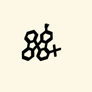 CC(C)(C)c1cccc2c1-c1ccc(Br)cc1C21c2ccccc2-c2ccccc21